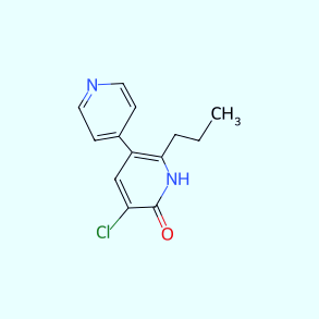 CCCc1[nH]c(=O)c(Cl)cc1-c1ccncc1